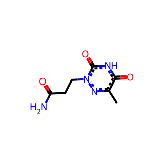 Cc1nn(CCC(N)=O)c(=O)[nH]c1=O